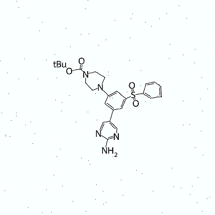 CC(C)(C)OC(=O)N1CCN(c2cc(-c3cnc(N)nc3)cc(S(=O)(=O)c3ccccc3)c2)CC1